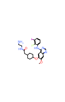 COc1cc2ncnc(Nc3cccc(I)c3F)c2cc1OC1CCC(CC(=O)NCCN)CC1